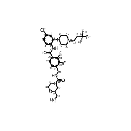 O=C(Nc1ccc(Cl)cc1N1CCN(CCC(F)(F)F)CC1)c1ccc(CNC(=O)N2CCOC(CO)C2)c(F)c1F